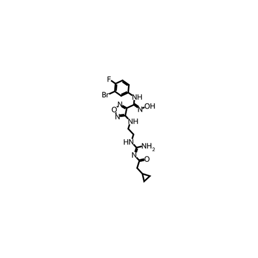 N/C(=N\C(=O)CC1CC1)NCCNc1nonc1/C(=N/O)Nc1ccc(F)c(Br)c1